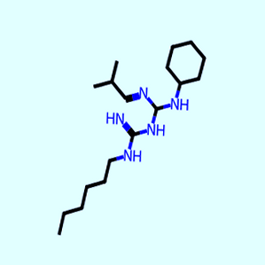 CCCCCCNC(=N)NC(/N=C/C(C)C)NC1CCCCC1